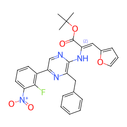 CC(C)(C)OC(=O)/C(=C/c1ccco1)Nc1ncc(-c2cccc([N+](=O)[O-])c2F)nc1Cc1ccccc1